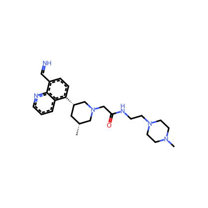 C[C@@H]1C[C@H](c2ccc(C=N)c3ncccc23)CN(CC(=O)NCCN2CCN(C)CC2)C1